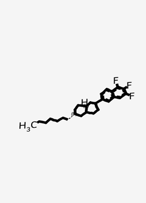 CCCCCCC[C@@H]1CC[C@@H]2CC(c3ccc4c(F)c(F)c(F)cc4c3)CCC2C1